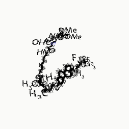 CNC(=O)N(/C=C(\C=O)CCC(=O)NCCCCCCSSC(C)(C)CCN(C)CCOc1ccc2c(c1)CCC1C2CCC2(C)C(OCCCOC(C(F)(F)F)(C(F)(F)F)C(F)(F)F)CCC12)C1CC(OC)C(COC)O1